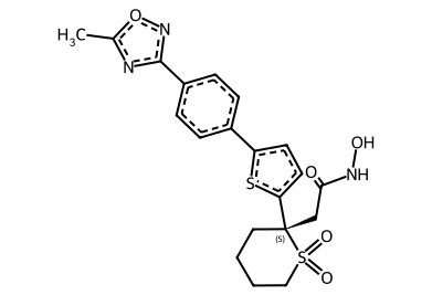 Cc1nc(-c2ccc(-c3ccc([C@@]4(CC(=O)NO)CCCCS4(=O)=O)s3)cc2)no1